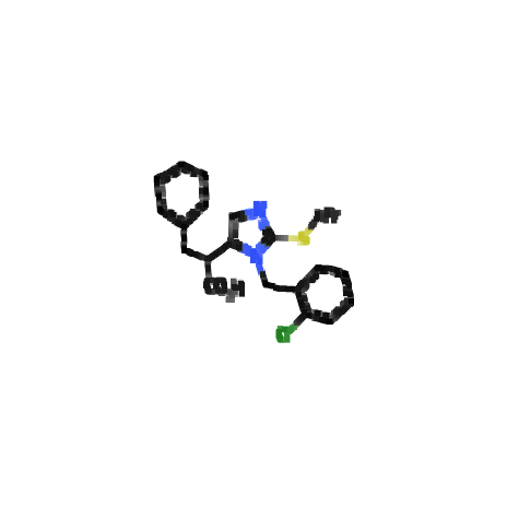 CCCSc1ncc(C(Cc2ccccc2)C(=O)O)n1Cc1ccccc1Cl